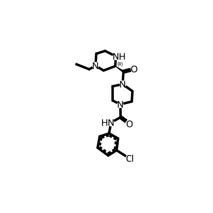 CCN1CCN[C@@H](C(=O)N2CCN(C(=O)Nc3cccc(Cl)c3)CC2)C1